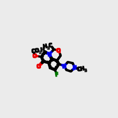 CC1OCc2c(N3CCN(C)CC3)c(F)cc3c(=O)c(OC(=O)O)cn1c23